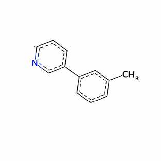 Cc1cccc(-c2cc[c]nc2)c1